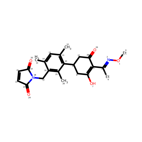 CCON=C(CC)C1=C(O)CC(c2c(C)cc(C)c(CN3C(=O)C=CC3=O)c2C)CC1=O